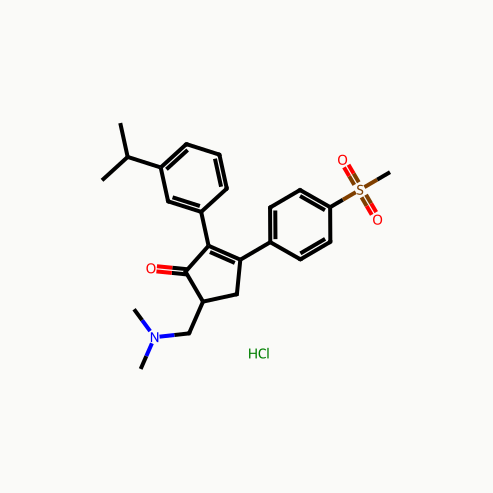 CC(C)c1cccc(C2=C(c3ccc(S(C)(=O)=O)cc3)CC(CN(C)C)C2=O)c1.Cl